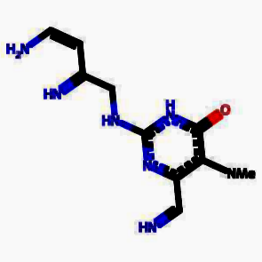 CNc1c(C=N)nc(NCC(=N)/C=C\N)[nH]c1=O